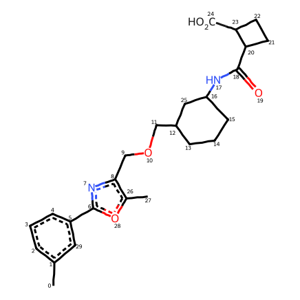 Cc1cccc(-c2nc(COCC3CCCC(NC(=O)C4CCC4C(=O)O)C3)c(C)o2)c1